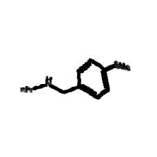 CCCNCc1ccc(SC)cc1